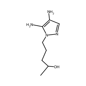 CC(O)CCCn1ncc(N)c1N